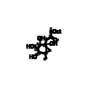 CCCCCCCCC(=O)C[C@@]1(O)O[C@@H](C)[C@@H](O)[C@@H](O)[C@@H]1O